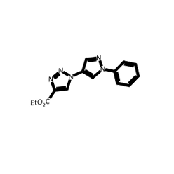 CCOC(=O)c1cn(-c2cnn(-c3ccccc3)c2)nn1